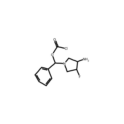 NC1CN(C(OC(=O)Cl)c2ccccc2)CC1F